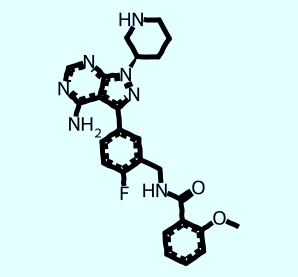 COc1ccccc1C(=O)NCc1cc(-c2nn([C@@H]3CCCNC3)c3ncnc(N)c23)ccc1F